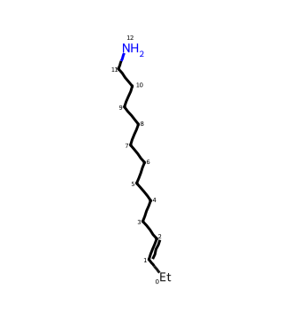 CCC=CCCCCCCCCCN